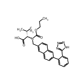 CCCOC(=O)N(Cc1ccc2cc(-c3ccccc3-c3nnn[nH]3)ccc2c1)[C@H](C(=O)O)C(C)C